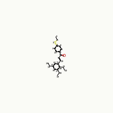 CCSc1ccc(C(=O)C=Cc2cc(CC)cc(CC)c2CC)cc1